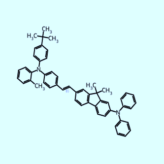 Cc1ccccc1N(c1ccc(/C=C/c2ccc3c(c2)C(C)(C)c2cc(N(c4ccccc4)c4ccccc4)ccc2-3)cc1)c1ccc(C(C)(C)C)cc1